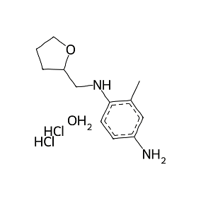 Cc1cc(N)ccc1NCC1CCCO1.Cl.Cl.O